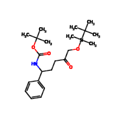 CC(C)(C)OC(=O)NC(CCC(=O)CO[Si](C)(C)C(C)(C)C)c1ccccc1